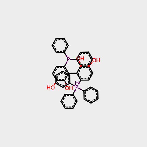 Oc1ccc(P(c2ccccc2)c2ccccc2)c(-c2c([PH](c3ccccc3)(c3ccccc3)c3ccccc3)ccc(O)c2O)c1O